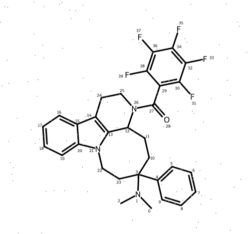 CN(C)C1(c2ccccc2)CCC2c3c(c4ccccc4n3CC1)CCN2C(=O)c1c(F)c(F)c(F)c(F)c1F